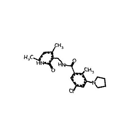 Cc1cc(C)c(CNC(=O)c2cc(Cl)cc(N3CCCC3)c2C)c(=O)[nH]1